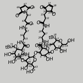 CC(=O)NC1C(OC2CC(O)C(OC3C(O)C(CO)OC(C(C)(C)C)C3NC(C)=O)OC2C(=O)NCCCNC(=O)CCC2C(=O)C=CC2=O)OC(CO)C(O)C1OC1OC(C(=O)NCCCNC(=O)CCN2C(=O)C=CC2=O)C(OC(C)(C)C)C(O)C1O